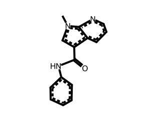 Cn1cc(C(=O)Nc2ccccc2)c2cccnc21